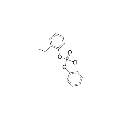 CCc1ccccc1OP(=O)(Cl)Oc1ccccc1